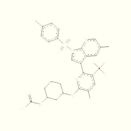 Cc1ccc(S(=O)(=O)n2cc(-c3nc(NC4CCCC(NC(=O)O)C4)c(F)cc3C(F)(F)F)c3cc(F)cnc32)cc1